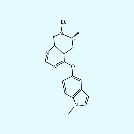 CCN1CC2N=CN=C(Oc3ccc4c(ccn4C)c3)C2C[C@@H]1C